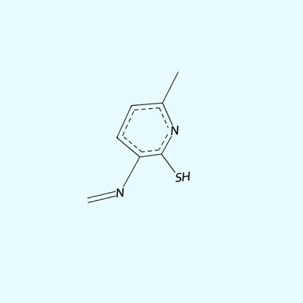 C=Nc1ccc(C)nc1S